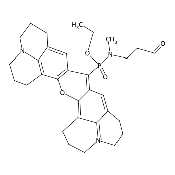 CCOP(=O)(C1=c2cc3c4c(c2Oc2c1cc1c5c2CCCN5CCC1)CCC[N+]=4CCC3)N(C)CCC=O